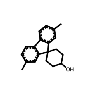 Cc1ccc2c(c1)C1(CCC(O)CC1)c1cc(C)ccc1-2